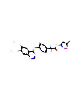 COc1cc2ncnc(Oc3ccc(C(F)(F)C(=O)Nc4cc(C)on4)cc3)c2cc1OC